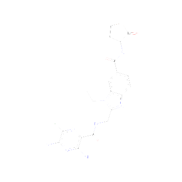 CCn1c(CNC(=O)c2nc(Cl)c(N)nc2N)nc2ccc(C(=O)NC3CCSC3=O)cc21